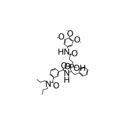 CCCN(CCC)C(=O)c1cccc(C(=O)NC(Cc2ccccc2)P(=O)(O)CCC(=O)Nc2cc(OC)c(OC)c(OC)c2)c1